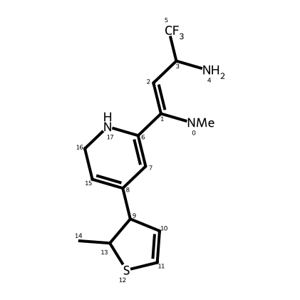 CN/C(=C\C(N)C(F)(F)F)C1=CC(C2C=CSC2C)=CCN1